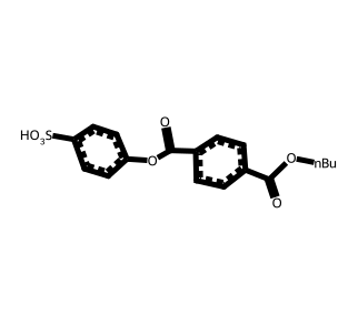 CCCCOC(=O)c1ccc(C(=O)Oc2ccc(S(=O)(=O)O)cc2)cc1